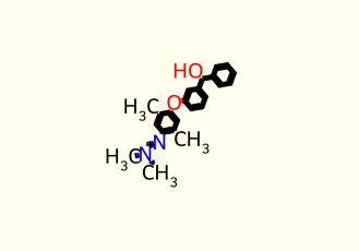 CCN(C)C=Nc1cc(C)c(Oc2cccc(C(O)c3ccccc3)c2)cc1C